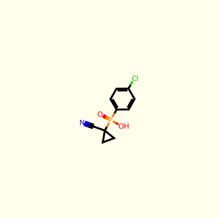 N#CC1(P(=O)(O)c2ccc(Cl)cc2)CC1